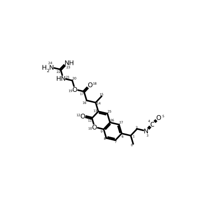 CC(CN=C=O)c1ccc2oc(=O)c(C(C)CC(=O)OCNC(=N)N)cc2c1